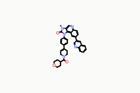 Cn1c(=O)n(-c2ccc(C3=CCN(C(=O)C4CCOCC4)CC3)cc2)c2c3cc(-c4cnc5ccccc5c4)ccc3ncc21